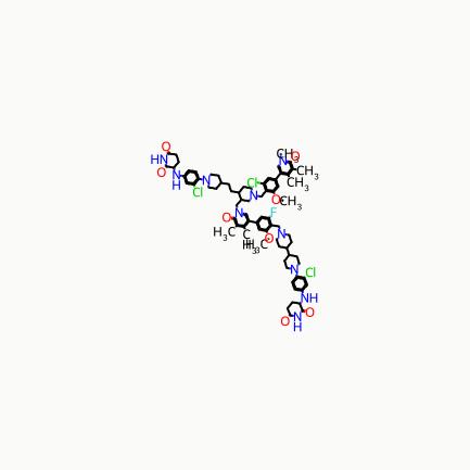 COc1cc(-c2cn(CC3CN(Cc4c(Cl)cc(-c5cn(C)c(=O)c(C)c5C)cc4OC)CCC3CCC3CCN(c4ccc(NC5CCC(=O)NC5=O)cc4Cl)CC3)c(=O)c(C)c2C)cc(F)c1CN1CCC(C2CCN(c3ccc(NC4CCC(=O)NC4=O)cc3Cl)CC2)CC1